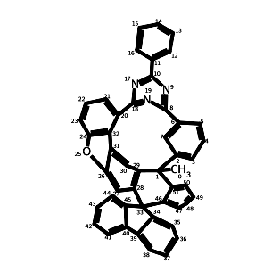 CC12c3cccc(c3)-c3nc(-c4ccccc4)nc(n3)-c3cccc4oc5cc(c1cc5c34)C1(c3ccccc3-c3ccccc31)c1ccccc12